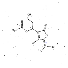 CCCC(OC(C)=O)C1=C(Br)/C(=C(\C)Br)OC1=O